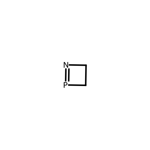 C1CP=N1